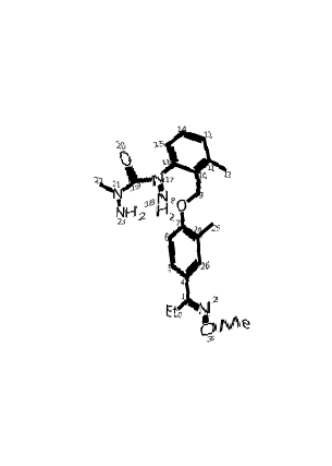 CCC(=NOC)c1ccc(OCc2c(C)cccc2N(N)C(=O)N(C)N)c(C)c1